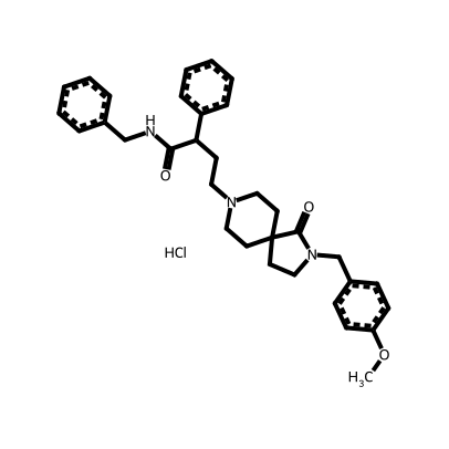 COc1ccc(CN2CCC3(CCN(CCC(C(=O)NCc4ccccc4)c4ccccc4)CC3)C2=O)cc1.Cl